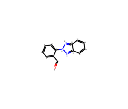 O=Cc1ccccc1-n1nc2ccccc2n1